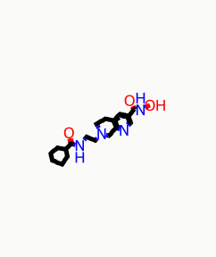 O=C(NO)c1cnc2c(c1)CCN(CCNC(=O)C1CCCCC1)C2